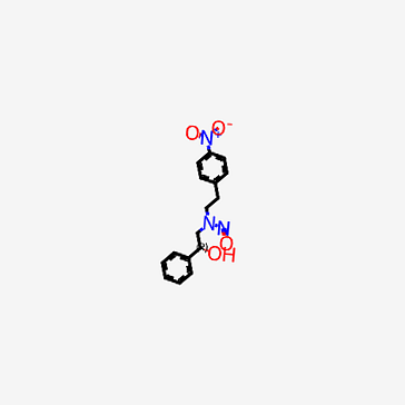 O=NN(CCc1ccc([N+](=O)[O-])cc1)C[C@H](O)c1ccccc1